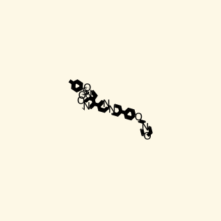 Cc1ccc(S(=O)(=O)n2ccc3c(-c4ccc(N5CCC(c6ccc(OCCN7CCOCC7)cc6)CC5)nc4)cn(C)c(=O)c32)cc1